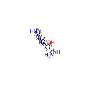 N=C/C(=C\N)c1ccc(-c2ccc(N3CCC4(CCCNC4)C3)nn2)c(O)c1